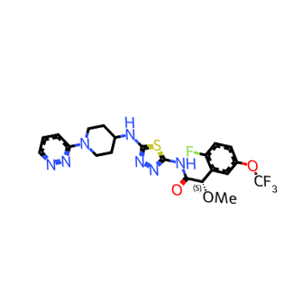 CO[C@H](C(=O)Nc1nnc(NC2CCN(c3cccnn3)CC2)s1)c1cc(OC(F)(F)F)ccc1F